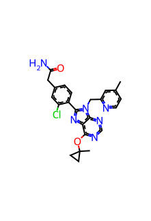 Cc1ccnc(Cn2c(-c3ccc(CC(N)=O)cc3Cl)nc3c(OC4(C)CC4)ncnc32)c1